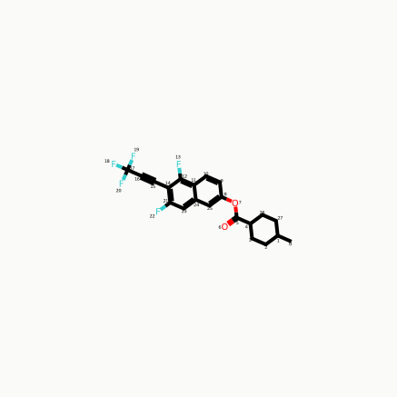 CC1CCC(C(=O)Oc2ccc3c(F)c(C#CC(F)(F)F)c(F)cc3c2)CC1